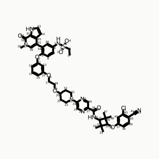 CCS(=O)(=O)Nc1ccc(Oc2cccc(OCCOC3CCN(c4cnc(C(=O)NC5C(C)(C)C(Oc6ccc(C#N)c(Cl)c6)C5(C)C)cn4)CC3)c2)c(-c2cn(C)c(=O)c3[nH]ccc23)c1